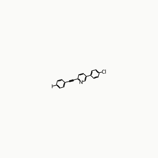 Clc1ccc(-c2ccc(C#Cc3ccc(I)cc3)nc2)cc1